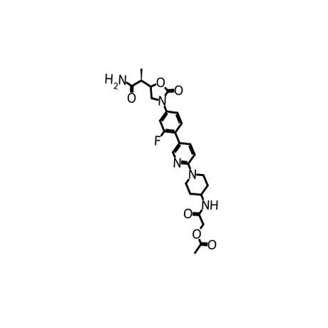 CC(=O)OCC(=O)NC1CCN(c2ccc(-c3ccc(N4CC([C@H](C)C(N)=O)OC4=O)cc3F)cn2)CC1